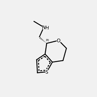 CNC[C@@H]1OCCc2sccc21